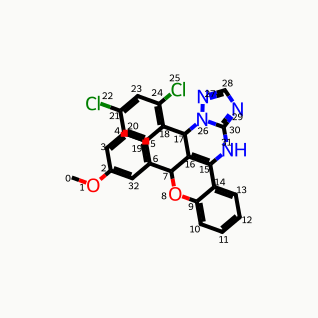 COc1cccc(C2Oc3ccccc3C3=C2C(c2ccc(Cl)cc2Cl)n2ncnc2N3)c1